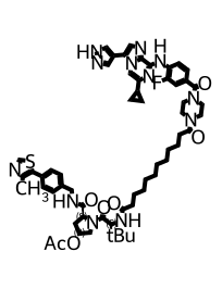 CC(=O)O[C@@H]1C[C@@H](C(=O)NCc2ccc(-c3scnc3C)cc2)N(C(=O)[C@@H](NC(=O)CCCCCCCCCCC(=O)N2CCN(C(=O)c3ccc(Nc4nc(C5CC5)cn5c(-c6cn[nH]c6)cnc45)c(F)c3)CC2)C(C)(C)C)C1